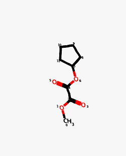 COC(=O)C(=O)OC1CCCC1